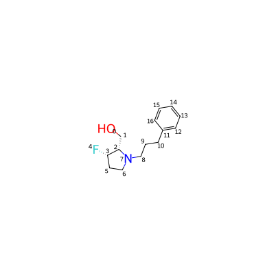 OC[C@H]1[C@@H](F)CCN1CCCc1ccccc1